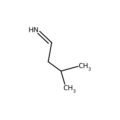 CC(C)CC=N